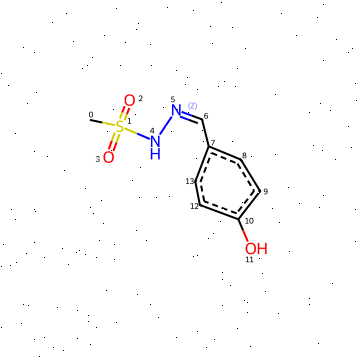 CS(=O)(=O)N/N=C\c1ccc(O)cc1